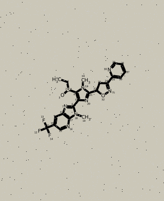 CC[S+]([O-])c1c(-c2nc3cc(C(F)(F)F)cnc3n2C)nc(C2CC(c3ccccn3)=NO2)n1C